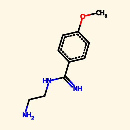 COc1ccc(C(=N)NCCN)cc1